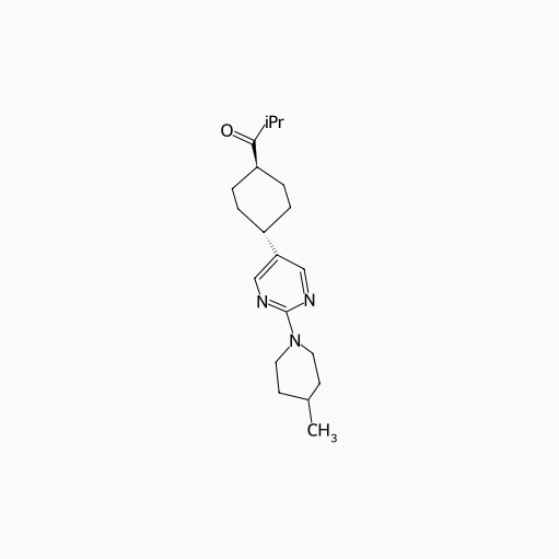 CC1CCN(c2ncc([C@H]3CC[C@H](C(=O)C(C)C)CC3)cn2)CC1